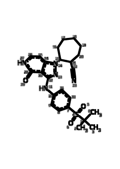 CC(C)(C)S(=O)(=O)c1ccc(Nc2nn([C@@H]3CCCCCC3C#N)c3cc[nH]c(=O)c23)cc1